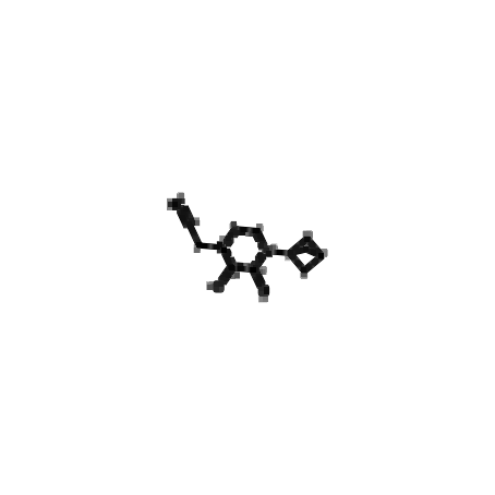 C#CCn1ccn(C23CC(C2)C3)c(=O)c1=O